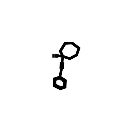 OC1(C#Cc2ccccc2)CCCCCC1